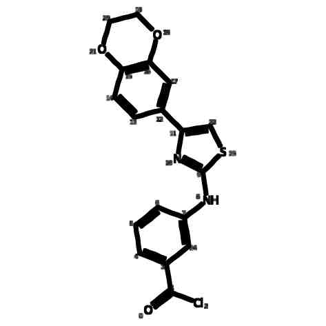 O=C(Cl)c1cccc(Nc2nc(-c3ccc4c(c3)OCCO4)cs2)c1